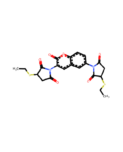 CCSC1CC(=O)N(c2ccc3oc(=O)c(N4C(=O)CC(SCC)C4=O)cc3c2)C1=O